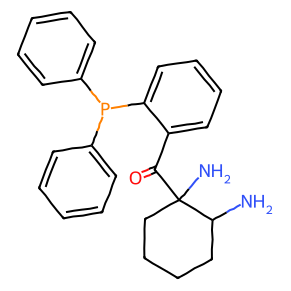 NC1CCCCC1(N)C(=O)c1ccccc1P(c1ccccc1)c1ccccc1